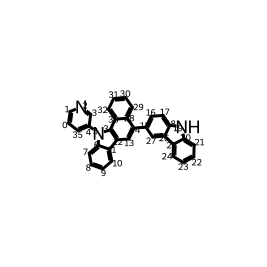 c1cncc(-n2c3ccccc3c3cc(-c4ccc5[nH]c6ccccc6c5c4)c4ccccc4c32)c1